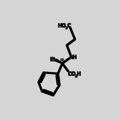 CC[C@@](NCCC(=O)O)(C(=O)O)c1ccccc1